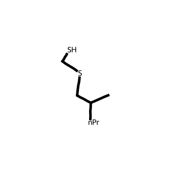 CCCC(C)CSCS